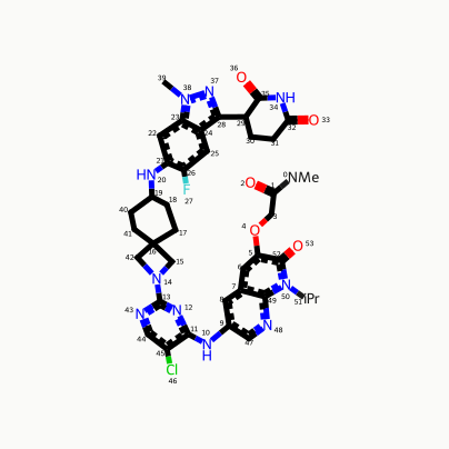 CNC(=O)COc1cc2cc(Nc3nc(N4CC5(CCC(Nc6cc7c(cc6F)c(C6CCC(=O)NC6=O)nn7C)CC5)C4)ncc3Cl)cnc2n(C(C)C)c1=O